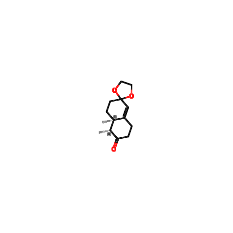 C[C@H]1C(=O)CCC2=CC3(CC[C@@]21C)OCCO3